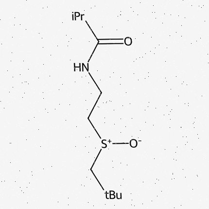 CC(C)C(=O)NCC[S+]([O-])CC(C)(C)C